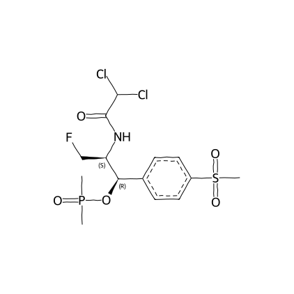 CP(C)(=O)O[C@H](c1ccc(S(C)(=O)=O)cc1)[C@@H](CF)NC(=O)C(Cl)Cl